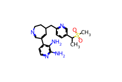 CC(c1ccc(CC2C=C(c3ccnc(N)c3N)C=NCC2)nc1)S(C)(=O)=O